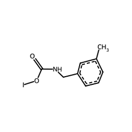 Cc1cccc(CNC(=O)OI)c1